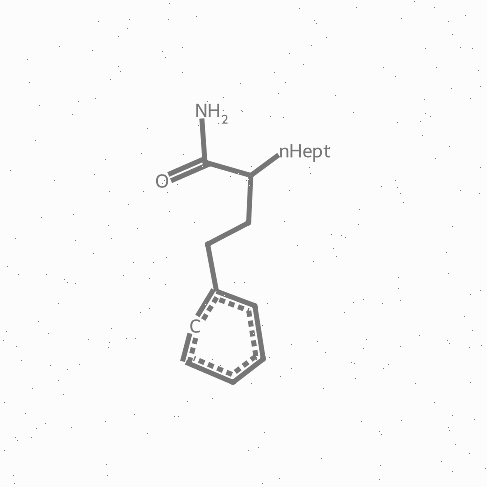 CCCCCCCC(CCc1ccccc1)C(N)=O